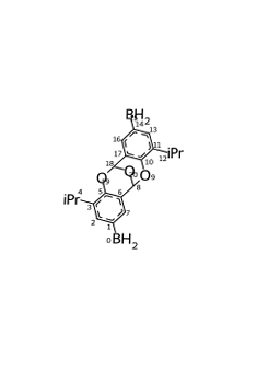 Bc1cc(C(C)C)c2c(c1)C1Oc3c(C(C)C)cc(B)cc3C(O2)O1